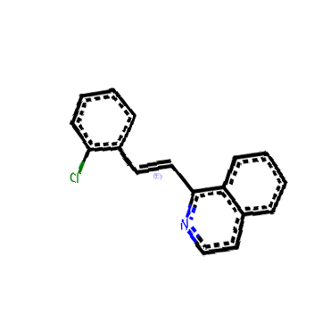 Clc1ccccc1/C=C/c1nccc2ccccc12